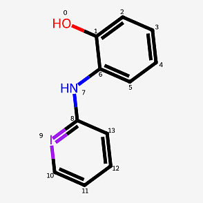 Oc1ccccc1NC1=IC=CC=C1